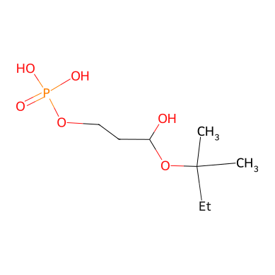 CCC(C)(C)OC(O)CCOP(=O)(O)O